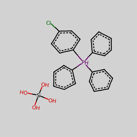 Clc1ccc([PH](c2ccccc2)(c2ccccc2)c2ccccc2)cc1.O[Si](O)(O)O